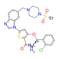 CCS(=O)(=O)N1CCN(Cc2ccc3ncn(-c4cc(O[C@H](C)c5ccccc5Cl)c(C(N)=O)s4)c3c2)CC1